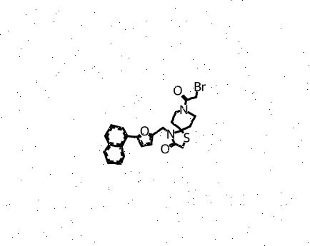 O=C(CBr)N1CCC2(CC1)SCC(=O)N2Cc1ccc(-c2cccc3ccccc23)o1